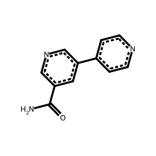 NC(=O)c1cncc(-c2ccncc2)c1